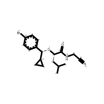 CC(C)C[C@H](O[C@@H](c1ccc(Br)cc1)C1CC1)C(=O)NCC#N